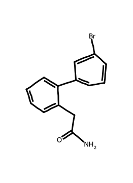 NC(=O)Cc1ccccc1-c1cccc(Br)c1